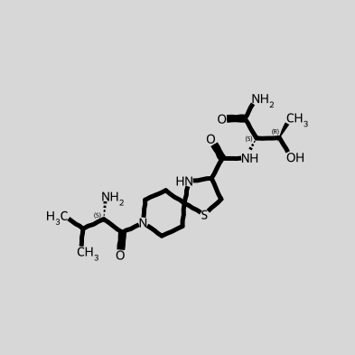 CC(C)[C@H](N)C(=O)N1CCC2(CC1)NC(C(=O)N[C@H](C(N)=O)[C@@H](C)O)CS2